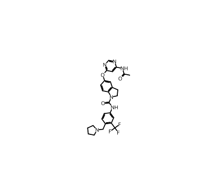 CC(=O)Nc1cc(Oc2ccc3c(c2)CCN3C(=O)Nc2ccc(CN3CCCC3)c(C(F)(F)F)c2)ncn1